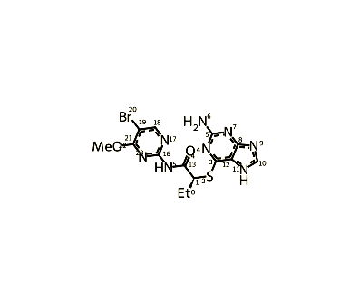 CC[C@H](Sc1nc(N)nc2nc[nH]c12)C(=O)Nc1ncc(Br)c(OC)n1